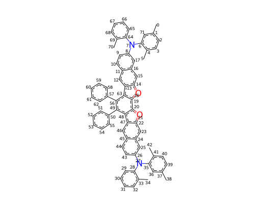 Cc1ccc(C)c(N(c2ccc3cc4c(cc3c2)oc2c3oc5cc6cc(N(c7ccccc7C)c7cc(C)ccc7C)ccc6cc5c3c(-c3ccccc3)c(-c3ccccc3)c42)c2ccccc2C)c1